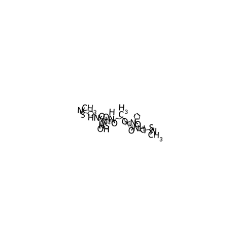 Cc1ncsc1-c1ccc(CNC(=O)[C@@H]2C[C@@H](OCC(C)CCC(=O)N[C@@H](CS)C(=O)N3C[C@H](O)C[C@H]3C(=O)NCc3ccc(-c4scnc4C)cc3)CN2C(=O)c2ccccc2)cc1